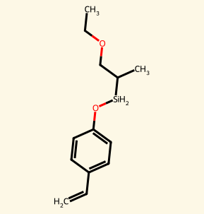 C=Cc1ccc(O[SiH2]C(C)COCC)cc1